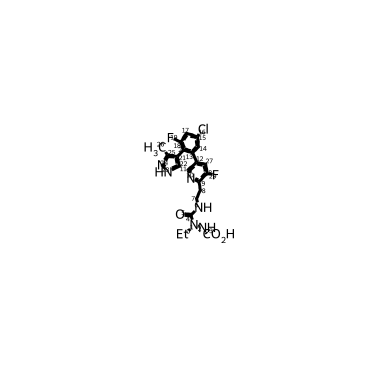 CCN(NC(=O)O)C(=O)NCCc1ncc(-c2cc(Cl)cc(F)c2-c2c[nH]nc2C)cc1F